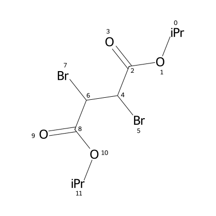 CC(C)OC(=O)C(Br)C(Br)C(=O)OC(C)C